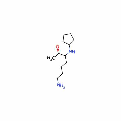 CC(=O)C(CCCCN)NC1CCCC1